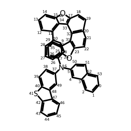 c1ccc2cc(N(c3ccc(-c4cccc5oc6ccc7ccc8oc9ccccc9c8c7c6c45)cc3)c3ccc4sc5ccccc5c4c3)ccc2c1